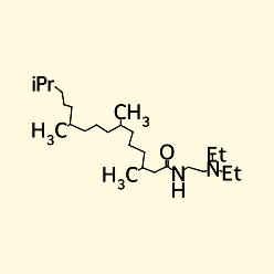 CCN(CC)CCNC(=O)CC(C)CCCC(C)CCCC(C)CCCC(C)C